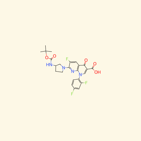 CC(C)(C)OC(=O)NC1CCN(c2nc3c(cc2F)c(=O)c(C(=O)O)cn3-c2ccc(F)cc2F)C1